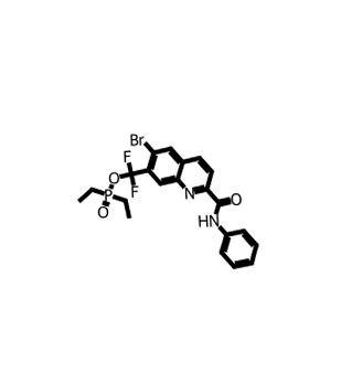 CCP(=O)(CC)OC(F)(F)c1cc2nc(C(=O)Nc3ccccc3)ccc2cc1Br